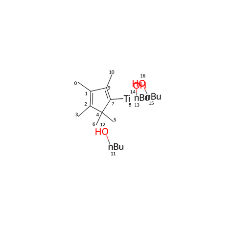 CC1=C(C)C(C)(C)[C]([Ti])=C1C.CCCCO.CCCCO.CCCCO